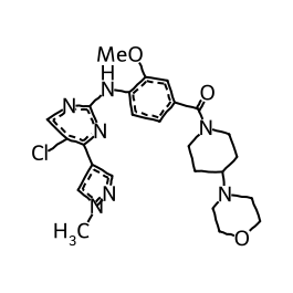 COc1cc(C(=O)N2CCC(N3CCOCC3)CC2)ccc1Nc1ncc(Cl)c(-c2cnn(C)c2)n1